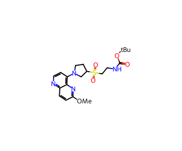 COc1ccc2nccc(N3CCC(S(=O)(=O)CCNC(=O)OC(C)(C)C)C3)c2n1